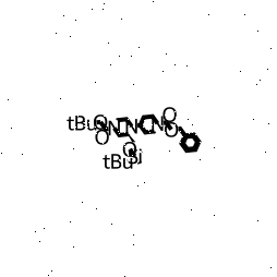 CC(C)(C)OC(=O)N1CCN(C2CCN(C(=O)OCc3ccccc3)CC2)[C@@H](CO[Si](C)(C)C(C)(C)C)C1